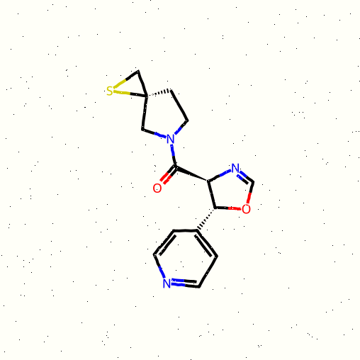 O=C([C@H]1N=CO[C@@H]1c1ccncc1)N1CC[C@]2(CS2)C1